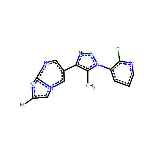 CCc1cn2cc(-c3nnn(-c4cccnc4F)c3C)cnc2n1